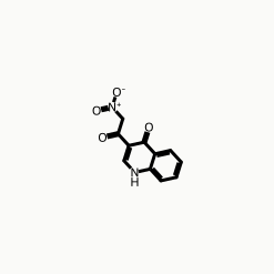 O=C(C[N+](=O)[O-])c1c[nH]c2ccccc2c1=O